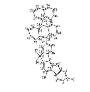 Cc1ccc2c(c1)sc1c3c(cc(C)c12)C(C)(C)c1cc(-c2c4ccccc4c(-c4cccc5ccccc45)c4ccccc24)ccc1-3